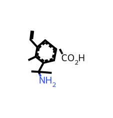 C=Cc1cccc(C(C)(C)N)c1C.CC(=O)O